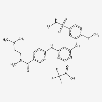 CNS(=O)(=O)c1ccc(SC)c(Nc2cc(Nc3ccc(C(=O)N(C)CCN(C)C)cc3)ncn2)c1.O=C(O)C(F)(F)F